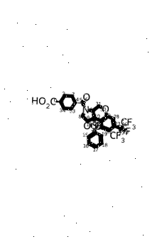 O=C(O)[C@H]1CC[C@H](C(=O)N2CCC3(S(=O)(=O)c4ccccc4)c4ccc(C(F)(C(F)(F)F)C(F)(F)F)cc4OCC23)CC1